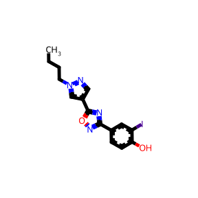 CCCCn1cc(-c2nc(-c3ccc(O)c(I)c3)no2)cn1